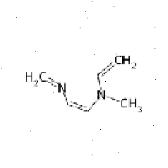 C=CN(C)/C=C\N=C